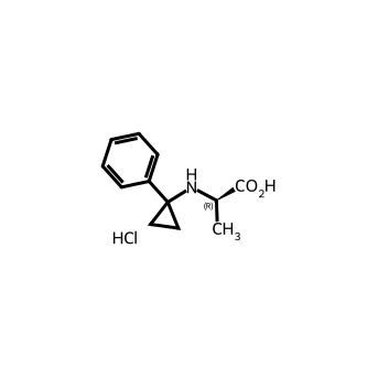 C[C@@H](NC1(c2ccccc2)CC1)C(=O)O.Cl